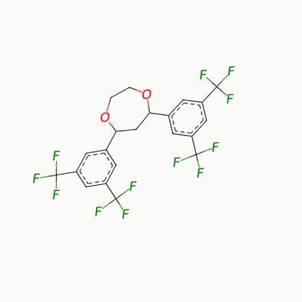 FC(F)(F)c1cc(C2CC(c3cc(C(F)(F)F)cc(C(F)(F)F)c3)OCCO2)cc(C(F)(F)F)c1